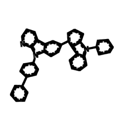 c1ccc(-c2ccc(-n3c4ccc(-c5cccc6c5c5ccccc5n6-c5ccccc5)cc4c4cccnc43)cc2)cc1